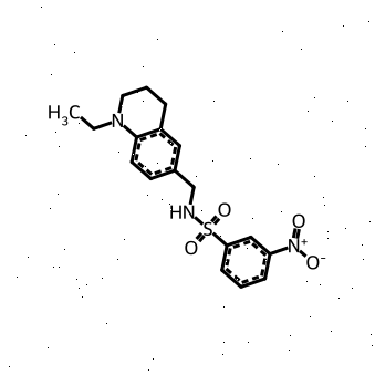 CCN1CCCc2cc(CNS(=O)(=O)c3cccc([N+](=O)[O-])c3)ccc21